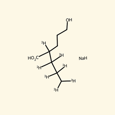 [2H]C([2H])C([2H])([2H])C([2H])([2H])C([2H])(CCCO)C(=O)O.[NaH]